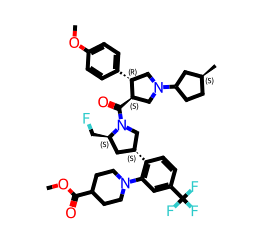 COC(=O)C1CCN(c2cc(C(F)(F)F)ccc2[C@@H]2C[C@@H](CF)N(C(=O)[C@@H]3CN(C4CC[C@H](C)C4)C[C@H]3c3ccc(OC)cc3)C2)CC1